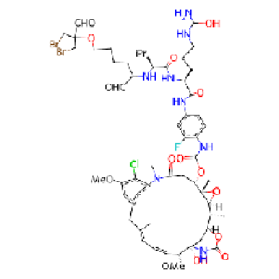 COc1cc2cc(c1Cl)N(C)C(=O)C[C@H](OC(=O)Nc1ccc(NC(=O)[C@H](CCCNC(N)O)NC(=O)[C@@H](NC(C=O)CCCCOC(C=O)(CBr)CBr)C(C)C)cc1F)[C@]1(C)O[C@H]1[C@H](C)[C@@H]1C[C@@](O)(NC(=O)O1)[C@H](OC)/C=C/C=C(\C)C2